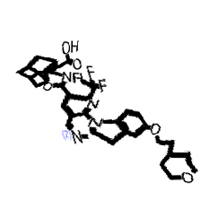 C/N=C\c1cc(C(=O)NC2(C(=O)O)C3CC4CC5CC2C45C3)c(C(F)(F)F)nc1N1CCc2cc(OCCC3CCOCC3)ccc21